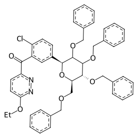 CCOc1ccc(C(=O)c2cc([C@@H]3O[C@H](COCc4ccccc4)[C@@H](OCc4ccccc4)C(OCc4ccccc4)C3OCc3ccccc3)ccc2Cl)nn1